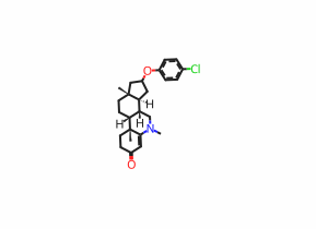 CN1C[C@@H]2[C@@H](CC[C@]3(C)CC(Oc4ccc(Cl)cc4)C[C@@H]23)[C@@]2(C)CCC(=O)C=C12